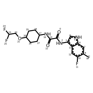 O=C(Nc1c[nH]c2cc(F)c(F)cc12)C(=O)NC1CCC(OCC(F)F)CC1